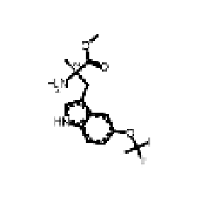 COC(=O)[C@@](C)(N)Cc1c[nH]c2ccc(OC(F)(F)F)cc12